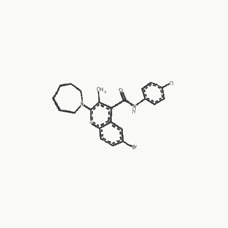 Cc1c(N2CCCCCC2)nc2ccc(Br)cc2c1C(=O)Nc1[c]cc(Cl)cc1